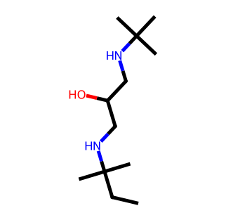 CCC(C)(C)NCC(O)CNC(C)(C)C